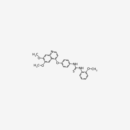 COc1ccccc1NC(=S)Nc1ccc(Oc2ccnc3cc(OC)c(OC)cc23)cc1